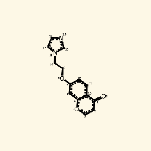 O=c1ccoc2cc(OCCn3ccnc3)ccc12